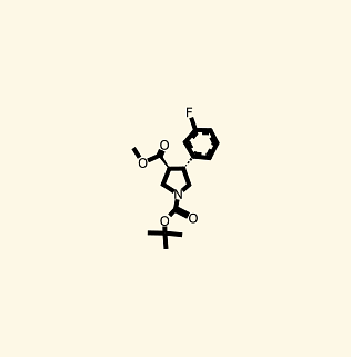 COC(=O)[C@@H]1CN(C(=O)OC(C)(C)C)C[C@H]1c1cccc(F)c1